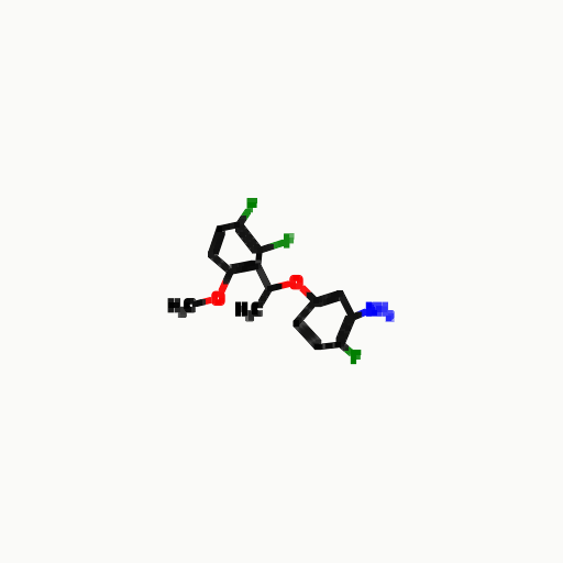 COc1ccc(F)c(F)c1C(C)Oc1ccc(F)c(N)c1